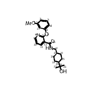 COc1cccc(Oc2ncccc2C(=O)NCC2CCC(C(C)(C)O)CC2)c1